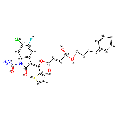 NC(=O)N1C(=O)C(=C(OC(=O)C=CC(=O)OCCCCc2ccccc2)c2cccs2)c2cc(F)c(Cl)cc21